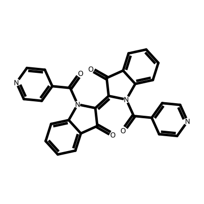 O=C1/C(=C2/C(=O)c3ccccc3N2C(=O)c2ccncc2)N(C(=O)c2ccncc2)c2ccccc21